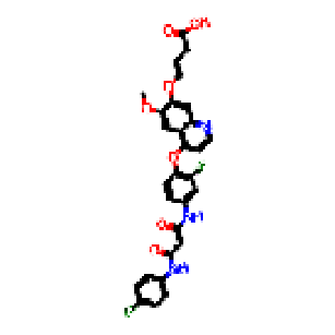 COc1cc2c(Oc3ccc(NC(=O)CC(=O)Nc4ccc(F)cc4)cc3F)ccnc2cc1OCCCC(=O)O